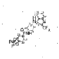 O=C(N[C@H]1CC[C@@H](Nc2cc(C(F)(F)F)nc3ccccc23)CC1)c1ccc2c(c1)OC(F)(F)O2